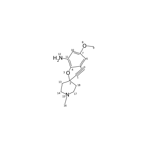 C#CC1(Oc2ccc(OC)cc2N)CCN(C)CC1